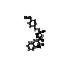 COc1ccc(C=CS(=O)(=O)CS(=O)(=O)c2cc3ccccc3[nH]c2=O)cc1